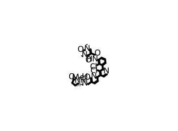 COc1nc(-c2ccnc(-c3cccc(NC(=O)c4cn(C)c(=O)n(C)c4=O)c3Cl)c2Cl)ccc1CNC[C@@H]1CCC(=O)N1